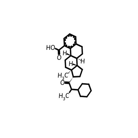 CC(C(=O)[C@H]1CC[C@H]2[C@@H]3CCc4cccc(C(=O)O)c4[C@H]3CC[C@]12C)C1CCCCC1